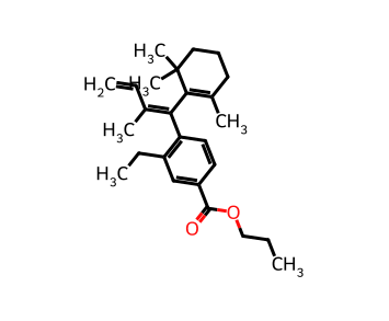 C=CC(C)=C(C1=C(C)CCCC1(C)C)c1ccc(C(=O)OCCC)cc1CC